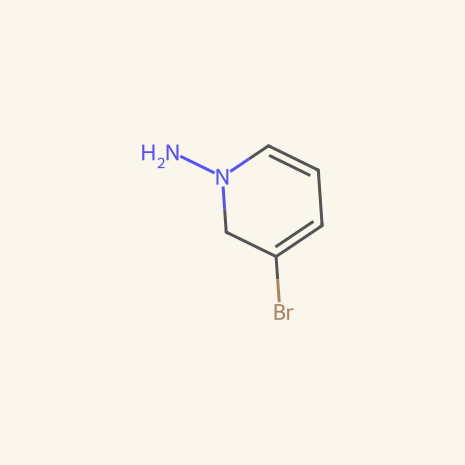 NN1C=CC=C(Br)C1